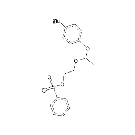 CCC(C)c1ccc(OC(C)OCCOS(=O)(=O)c2ccccc2)cc1